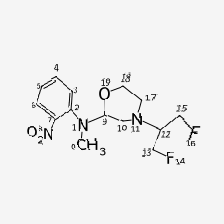 CN(c1ccccc1[N+](=O)[O-])C1CN(C(CF)CF)CCO1